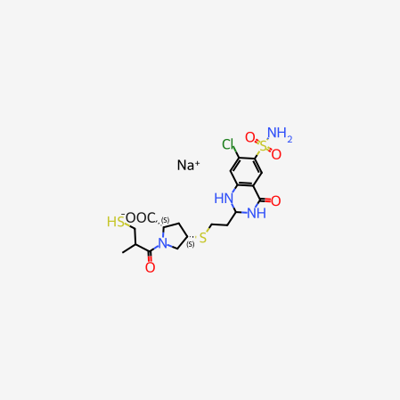 CC(CS)C(=O)N1C[C@@H](SCCC2NC(=O)c3cc(S(N)(=O)=O)c(Cl)cc3N2)C[C@H]1C(=O)[O-].[Na+]